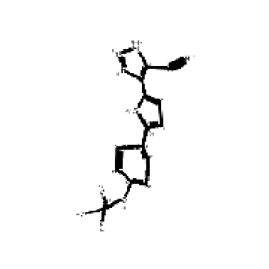 N#Cc1[nH]nnc1-c1ccc(-c2ccc(OC(F)(F)F)cc2)s1